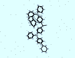 CC(c1ccc(N(c2ccccc2)c2ccc(C3CCCCC3)cc2)cc1)c1ccc(N(c2ccccc2)c2cccc3sc4ccccc4c23)cc1